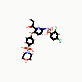 CCC(=O)c1nc(NS(=O)(=O)c2ccc(Cl)cc2Cl)ccc1Sc1ccc(S(=O)(=O)N2CCOCC2)cc1